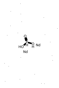 O=[PH](O)O.[Nd].[Nd]